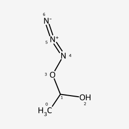 CC(O)ON=[N+]=[N-]